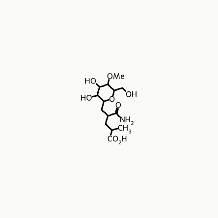 COC1C(CO)OC(CC(CC(C)C(=O)O)C(N)=O)C(O)C1O